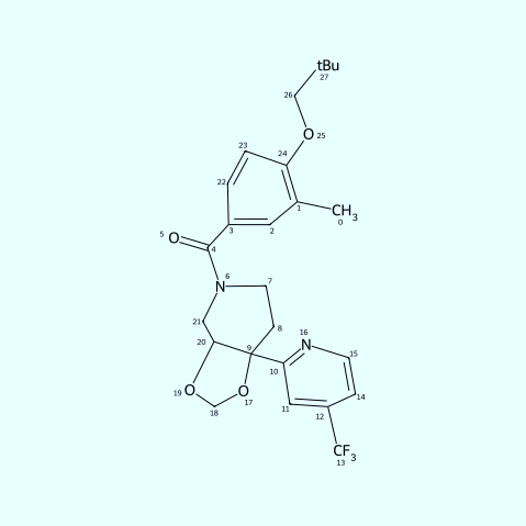 Cc1cc(C(=O)N2CCC3(c4cc(C(F)(F)F)ccn4)OCOC3C2)ccc1OCC(C)(C)C